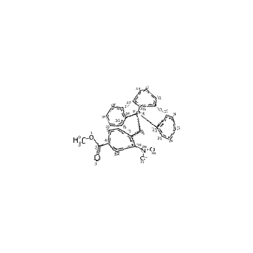 COC(=O)c1ccc(C[P+](c2ccccc2)(c2ccccc2)c2ccccc2)c([N+](=O)[O-])c1